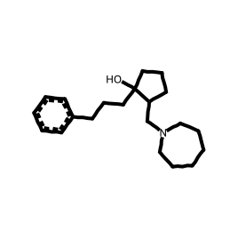 OC1(CCCc2ccccc2)CCCC1CN1CCCCCC1